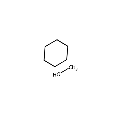 C1CCCCC1.CO